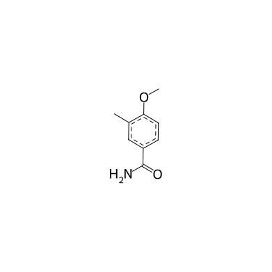 COc1ccc(C(N)=O)cc1C